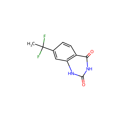 CC(F)(F)c1ccc2c(=O)[nH]c(=O)[nH]c2c1